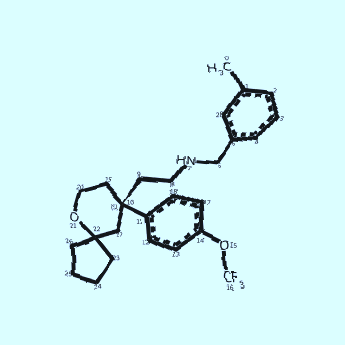 Cc1cccc(CNCC[C@]2(c3ccc(OC(F)(F)F)cc3)CCOC3(CCCC3)C2)c1